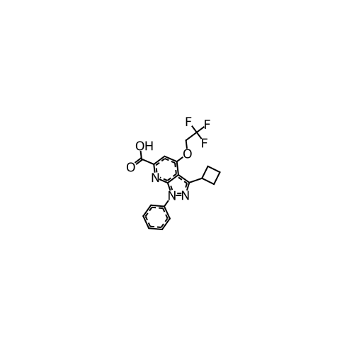 O=C(O)c1cc(OCC(F)(F)F)c2c(C3CCC3)nn(-c3ccccc3)c2n1